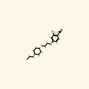 CCC[C@H]1CC[C@H](CCCOc2ccc(C#N)c(F)c2)CC1